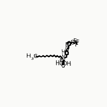 CCCCCCCCCCCCCCCC(=O)N[C@@H](CCP(=O)(O)O)Cc1ccc(OCc2cc(OCC(F)(F)F)ccn2)cc1